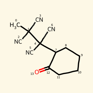 CC(C#N)(C#N)C(C#N)(C#N)C1CCCCC1=O